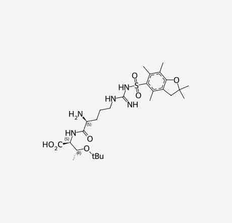 Cc1c(C)c(S(=O)(=O)NC(=N)NCCC[C@H](N)C(=O)N[C@H](C(=O)O)[C@@H](C)OC(C)(C)C)c(C)c2c1OC(C)(C)C2